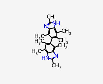 Cc1nc2c(C)c(-c3c(C)c(C)c4[nH]c(C)nc4c3C)c(C)c(C)c2[nH]1